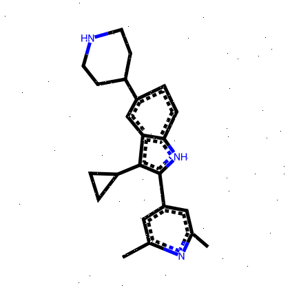 Cc1cc(-c2[nH]c3ccc(C4CCNCC4)cc3c2C2CC2)cc(C)n1